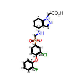 O=C(O)Cn1ncc2c1CCC[C@H]2NCS(=O)(=O)c1ccc(Oc2ccccc2F)c(Cl)c1